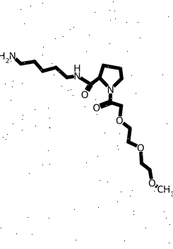 COCCOCCOCC(=O)N1CCCC1C(=O)NCCCCCN